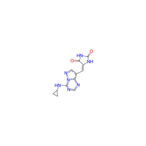 O=C1NC(=O)/C(=C\c2cnn3c(NC4CC4)ncnc23)N1